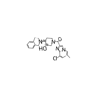 Cc1cc(Cl)c2nc(C(=O)N3CC[C@H](N4CCc5ccccc5C4)[C@@H](O)C3)cn2c1